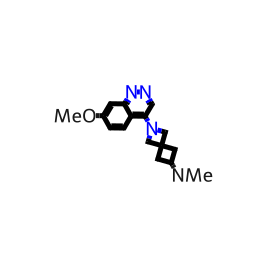 CNC1CC2(C1)CN(c1cnnc3cc(OC)ccc13)C2